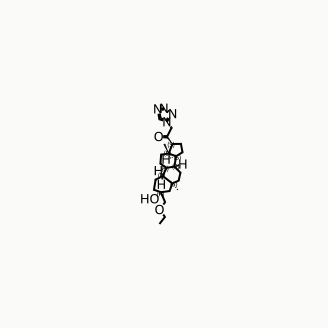 CCOC[C@@]1(O)CC[C@@H]2[C@H]3CC[C@]4(C)[C@@H](C(=O)Cn5cnnn5)CC[C@H]4[C@@H]3CC[C@@]2(C)C1